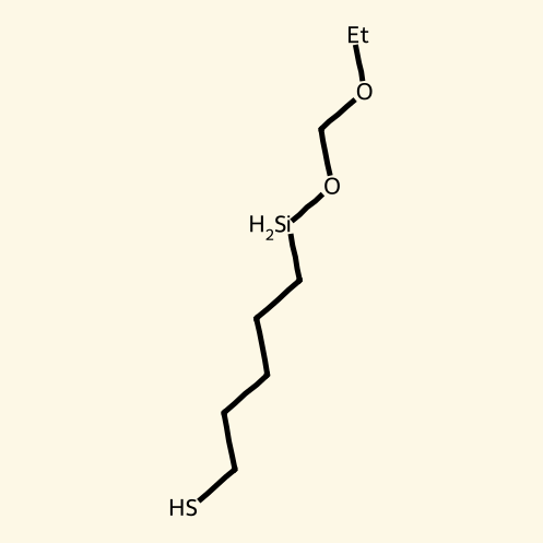 CCOCO[SiH2]CCCCCS